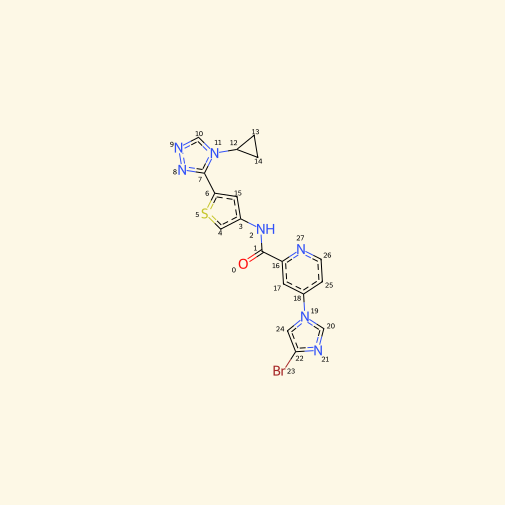 O=C(Nc1csc(-c2nncn2C2CC2)c1)c1cc(-n2cnc(Br)c2)ccn1